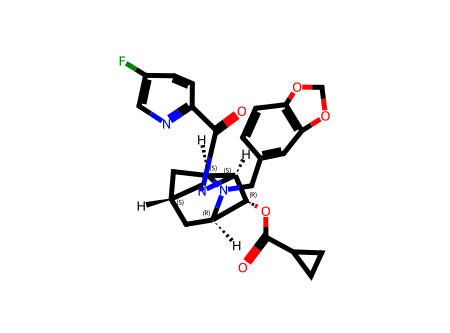 O=C(O[C@H]1[C@@H]2[C@@H]3C[C@@H](C[C@H]1N3Cc1ccc3c(c1)OCO3)CN2C(=O)c1ccc(F)cn1)C1CC1